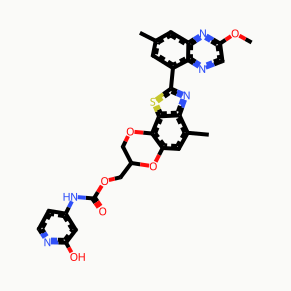 COc1cnc2c(-c3nc4c(C)cc5c(c4s3)OCC(COC(=O)Nc3ccnc(O)c3)O5)cc(C)cc2n1